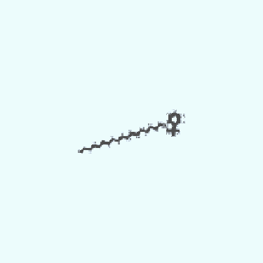 CCCCCCCCCCCCCCCCCCN1CC(C)(C)c2ccccc21